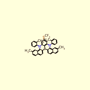 Cc1ccc2ccc3c(c2c1)N(c1ccccc1C)c1cc(SC(F)(F)F)cc2c1B3c1ccc3ccc(C)cc3c1N2c1ccccc1C